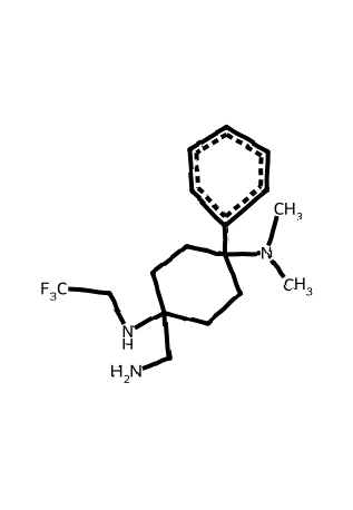 CN(C)C1(c2ccccc2)CCC(CN)(NCC(F)(F)F)CC1